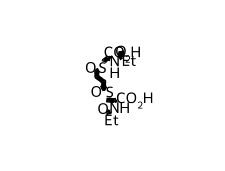 CCC(=O)NC(CSC(=O)CCC(=O)SCC(NC(=O)CC)C(=O)O)C(=O)O